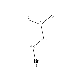 CC(C)C[CH]Br